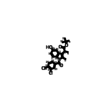 Cc1c(C(C)C(=O)OC(C)(C)C)c2cc(O)ccc2n1C(=O)c1ccc(Cl)c(Cl)c1